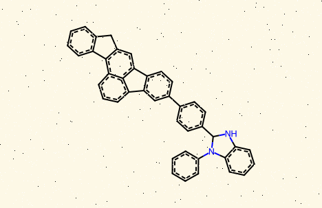 c1ccc(N2c3ccccc3NC2c2ccc(-c3ccc4c(c3)-c3cccc5c6c(cc-4c35)Cc3ccccc3-6)cc2)cc1